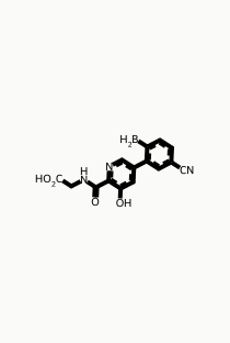 Bc1ccc(C#N)cc1-c1cnc(C(=O)NCC(=O)O)c(O)c1